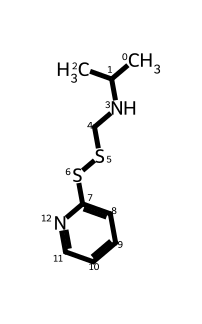 CC(C)NCSSc1ccccn1